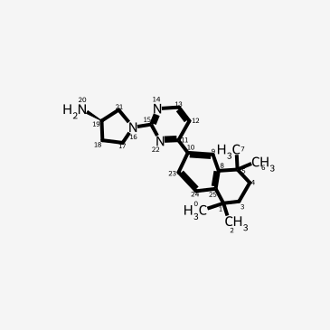 CC1(C)CCC(C)(C)c2cc(-c3ccnc(N4CC[C@@H](N)C4)n3)ccc21